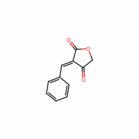 O=C1COC(=O)C1=Cc1ccccc1